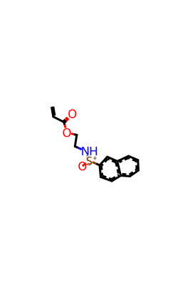 C=CC(=O)OCCN[S+]([O-])c1ccc2ccccc2c1